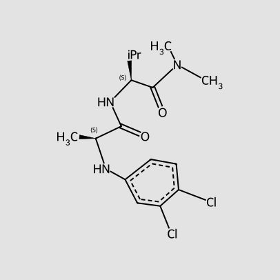 CC(C)[C@H](NC(=O)[C@H](C)Nc1ccc(Cl)c(Cl)c1)C(=O)N(C)C